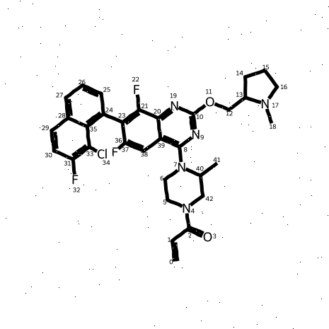 C=CC(=O)N1CCN(c2nc(OCC3CCCN3C)nc3c(F)c(-c4cccc5ccc(F)c(Cl)c45)c(F)cc23)C(C)C1